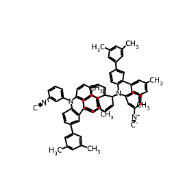 [C-]#[N+]c1cccc(N(C2=C3C=CC4=C5C(=CC=C(C=C2)C35)C(N(c2cccc([N+]#[C-])c2)c2ccc(-c3cc(C)cc(C)c3)cc2-c2cc(C)cc(C)c2)C=C4)c2ccc(-c3cc(C)cc(C)c3)cc2-c2cc(C)cc(C)c2)c1